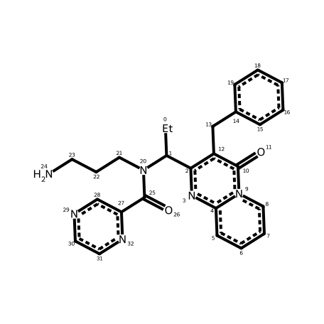 CCC(c1nc2ccccn2c(=O)c1Cc1ccccc1)N(CCCN)C(=O)c1cnccn1